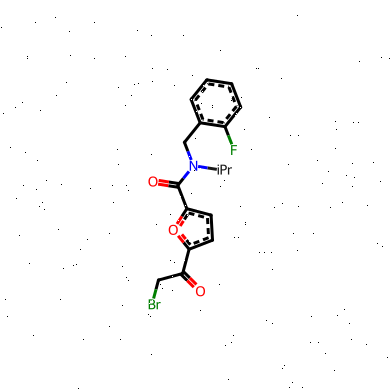 CC(C)N(Cc1ccccc1F)C(=O)c1ccc(C(=O)CBr)o1